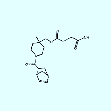 CC1(COC(=O)CCC(=O)O)CCN(C(=O)C2CC3C=CC2C3)CC1